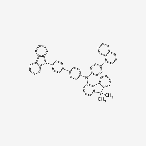 CC1(C)c2ccccc2-c2c(N(c3ccc(-c4ccc(-n5c6ccccc6c6ccccc65)cc4)cc3)c3ccc(-c4cccc5ccccc45)cc3)cccc21